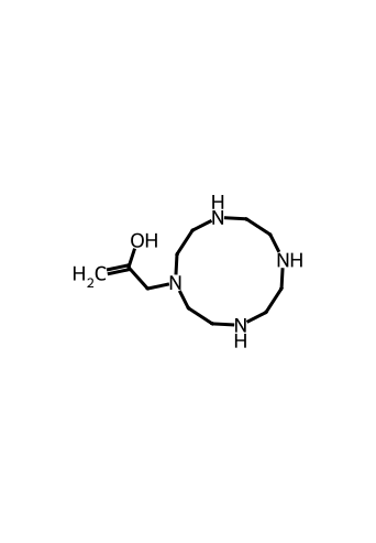 C=C(O)CN1CCNCCNCCNCC1